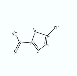 N#CC(=O)c1ccc(Cl)s1